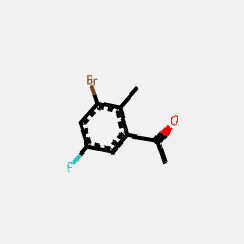 CC(=O)c1cc(F)cc(Br)c1C